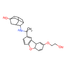 C=C(NC1C2CC3CC1CC(O)(C3)C2)c1ccc2c(c1)C1C=C(OCCO)C=CC1O2